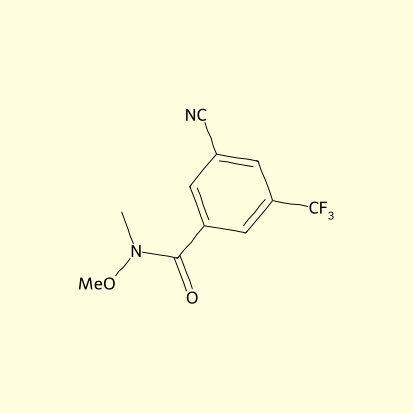 CON(C)C(=O)c1cc(C#N)cc(C(F)(F)F)c1